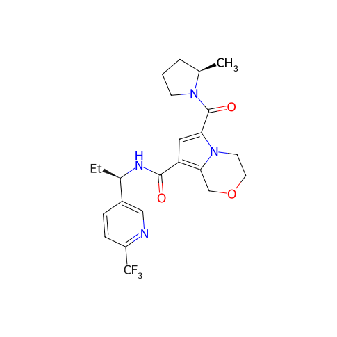 CC[C@@H](NC(=O)c1cc(C(=O)N2CCC[C@H]2C)n2c1COCC2)c1ccc(C(F)(F)F)nc1